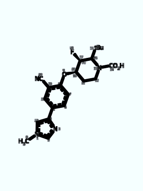 Cn1cnc(-c2ccc(O[C@@H]3CCN(C(=O)O)C(C(C)(C)C)[C@@H]3F)c(C#N)c2)c1